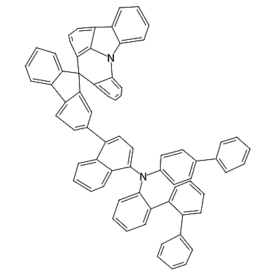 c1ccc(-c2ccc(N(c3ccccc3-c3ccccc3-c3ccccc3)c3ccc(-c4ccc5c(c4)C4(c6ccccc6-5)c5ccccc5-n5c6ccccc6c6cccc4c65)c4ccccc34)cc2)cc1